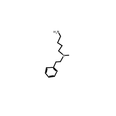 CN(CCCCN)CCc1ccccc1